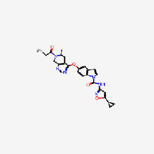 CC(C)CC(=O)N1Cc2ncnc(Oc3ccc4c(ccn4C(=O)Nc4cc(C5CC5)on4)c3)c2CC1C